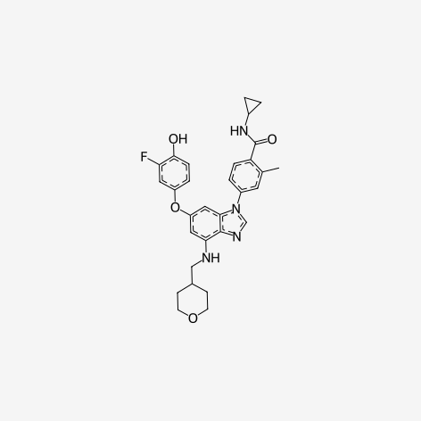 Cc1cc(-n2cnc3c(NCC4CCOCC4)cc(Oc4ccc(O)c(F)c4)cc32)ccc1C(=O)NC1CC1